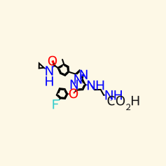 Cc1cc(-c2cnc3c(NCCCNC(=O)O)cc(Oc4cccc(F)c4)nn23)ccc1C(=O)NC1CC1